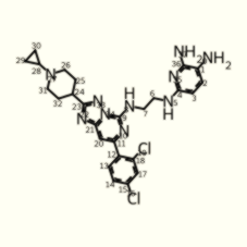 Nc1ccc(NCCNc2nc(-c3ccc(Cl)cc3Cl)cc3nc(C4CCN(C5CC5)CC4)nn23)nc1N